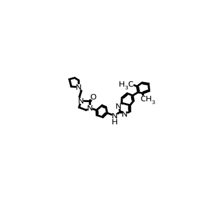 Cc1cccc(C)c1-c1ccc2nc(Nc3ccc(N4CCN(CCN5CCCC5)C4=O)cc3)ncc2c1